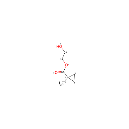 CC1(C(=O)OCCO)CC1